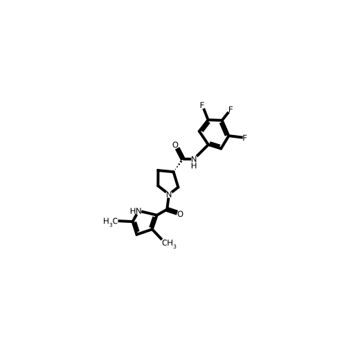 Cc1cc(C)c(C(=O)N2CC[C@H](C(=O)Nc3cc(F)c(F)c(F)c3)C2)[nH]1